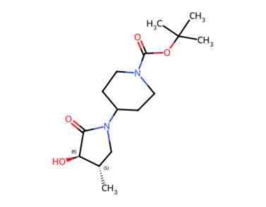 C[C@H]1CN(C2CCN(C(=O)OC(C)(C)C)CC2)C(=O)[C@@H]1O